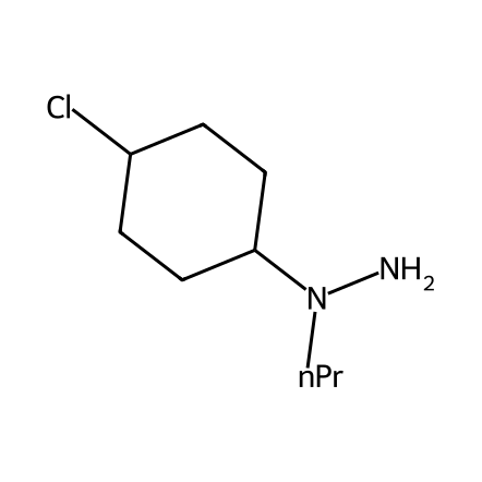 CCCN(N)C1CCC(Cl)CC1